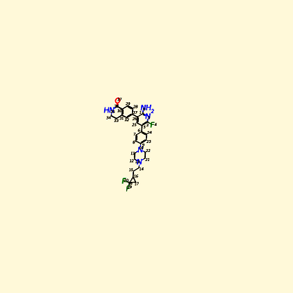 Nc1nc(F)c(-c2ccc(N3CCN(CCC4CC4(F)F)CC3)cc2)cc1-c1ccc2c(c1)CCNC2=O